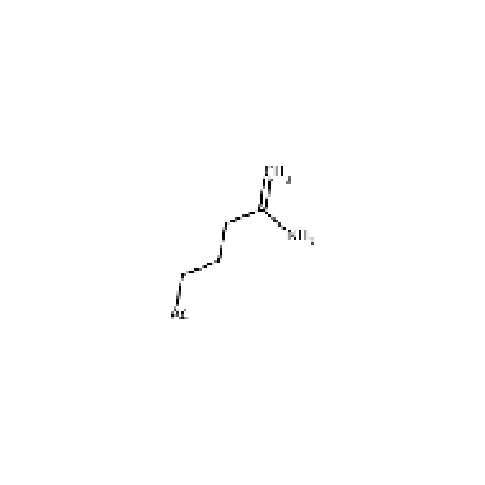 C=C(N)CCCC(C)=O